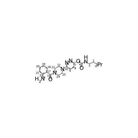 CC(C)CCNC(=O)Oc1ccc(N2CCN(C(=O)c3ccccc3N)CC2)nn1